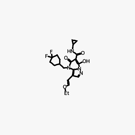 CCOC=Cc1cnn2c(O)c(C(=O)NC3CC3)c(=O)n(CC3CCC(F)(F)CC3)c12